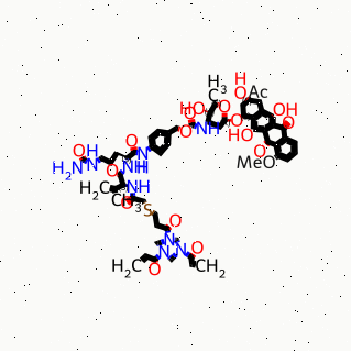 C=CC(=O)N1CN(C(=O)C=C)CN(C(=O)CCSCC(=O)N[C@@H](C(=C)C)C(=O)N[C@@H](CCCNC(N)=O)C(=O)Nc2ccc(COC(=O)NC3C[C@H](O[C@H]4C[C@](O)(C(C)=O)Cc5c(O)c6c(c(O)c54)C(=O)c4c(OC)cccc4C6=O)O[C@@H](C)[C@H]3O)cc2)C1